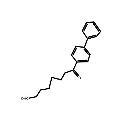 O=CCCCCCCC(=O)c1ccc(-c2ccccc2)cc1